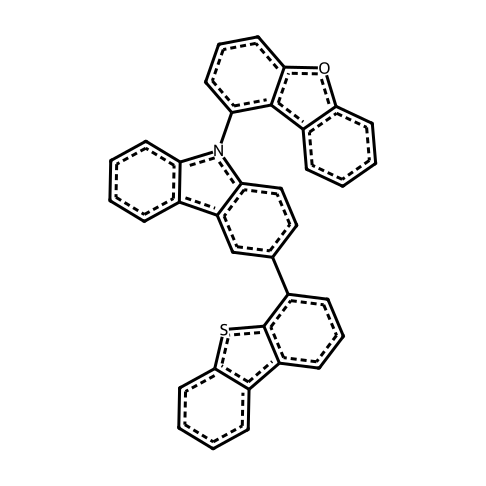 c1ccc2c(c1)oc1cccc(-n3c4ccccc4c4cc(-c5cccc6c5sc5ccccc56)ccc43)c12